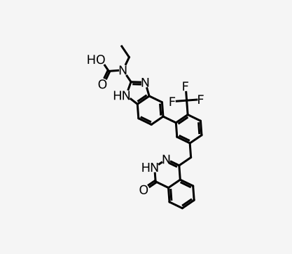 CCN(C(=O)O)c1nc2cc(-c3cc(Cc4n[nH]c(=O)c5ccccc45)ccc3C(F)(F)F)ccc2[nH]1